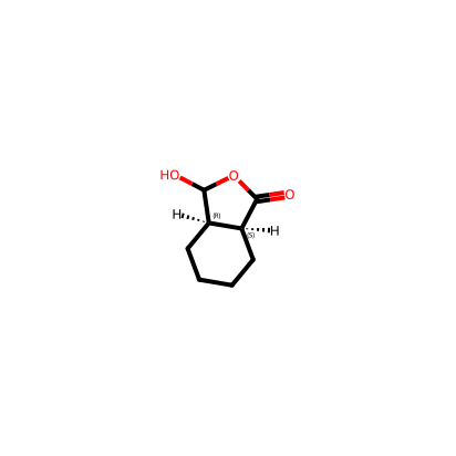 O=C1OC(O)[C@@H]2CCCC[C@H]12